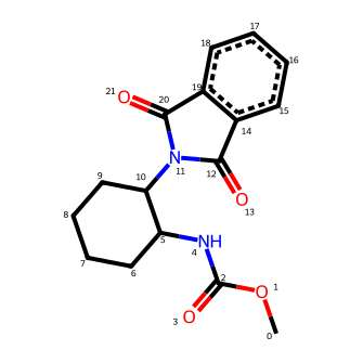 COC(=O)NC1CCCCC1N1C(=O)c2ccccc2C1=O